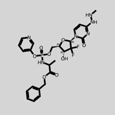 CNNc1ccn([C@@H]2O[C@H](COP(=O)(NC(C)C(=O)OCc3ccccc3)Oc3cccnc3)[C@@H](O)C2(F)F)c(=O)n1